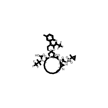 Cc1ccc2nc(C(F)(F)F)c3c(c2c1)CC[C@]1(C[C@H]2C(=O)N[C@]4(C(=O)NS(=O)(=O)C5(C)CC5)C[C@H]4/C=C\CCCCC[C@H](N(C(=O)O)C(C)(C)C(F)(F)F)C(=O)N2C1)O3